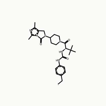 Cc1nc(C)n2c1CN(C1CCN(C(=O)[C@H](NC(=O)Nc3ccc(CI)cc3)C(C)(C)C)CC1)C2=O